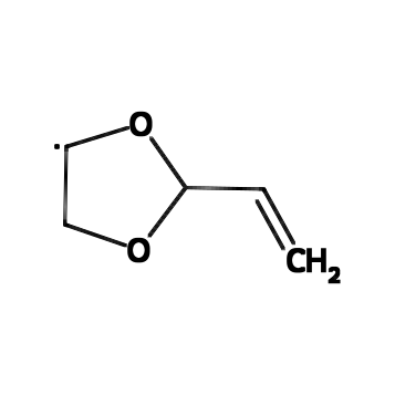 C=CC1O[CH]CO1